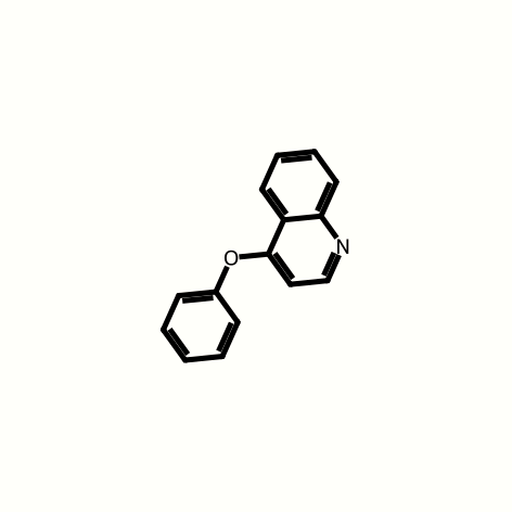 c1ccc(Oc2ccnc3ccccc23)cc1